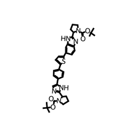 CC(C)(C)OC(=O)N1CCCC1c1ncc(-c2ccc(-c3ccc(-c4ccc5nc(C6CCCN6C(=O)OC(C)(C)C)[nH]c5c4)s3)cc2)[nH]1